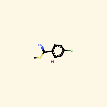 CSC(=N)c1ccc(Cl)cc1.I